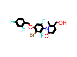 Cc1c(CO)ccc(=O)n1-c1c(F)cc(OCc2ccc(F)cc2F)c(Br)c1F